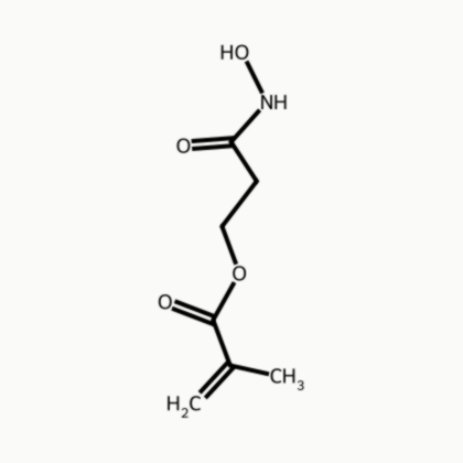 C=C(C)C(=O)OCCC(=O)NO